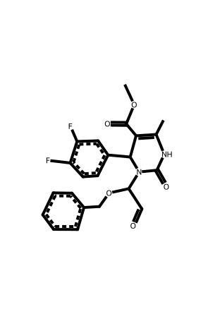 COC(=O)C1=C(C)NC(=O)N(C(C=O)OCc2ccccc2)C1c1ccc(F)c(F)c1